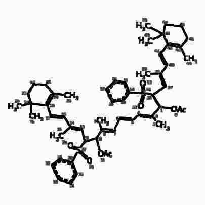 CC(=O)OC(/C(C)=C/C=C/C=C(\C)C(OC(C)=O)C(/C=C(C)/C=C/C1=C(C)CCCC1(C)C)S(=O)(=O)c1ccccc1)C(/C=C(C)/C=C/C1=C(C)CCCC1(C)C)S(=O)(=O)c1ccccc1